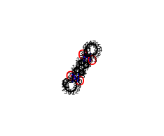 O=C1c2ccc3c4ccc5c6c(ccc(c7ccc(c2c37)C(=O)N1C1CCCCCCCCCCC1)c64)C(=O)N(C1CCCCCCCCCCC1)C5=O